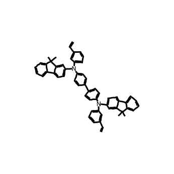 C=Cc1cccc(N(c2ccc(-c3ccc(N(c4cccc(C=C)c4)c4ccc5c(c4)C(C)(C)c4ccccc4-5)cc3)cc2)c2ccc3c(c2)C(C)(C)c2ccccc2-3)c1